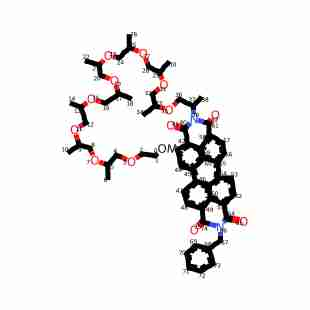 COCCOCC(C)OCC(C)OCC(C)OCC(C)OCC(C)OCC(C)OCC(C)OCC(C)OCC(C)N1C(=O)c2ccc3c4ccc5c6c(ccc(c7ccc(c2c37)C1=O)c64)C(=O)N(Cc1ccccc1)C5=O